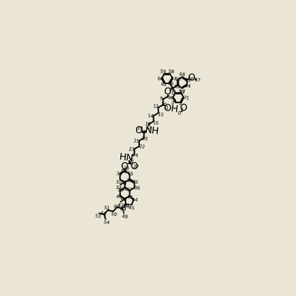 COc1ccc(C(OCCC(O)CCCCCNC(=O)CCCCCNC(=O)O[C@@H]2CC[C@]3(C)C(=CCC4C3CC[C@]3(C)C4CC[C@H]3[C@@H](C)CCCC(C)C)C2)(c2ccccc2)c2ccc(OC)cc2)cc1